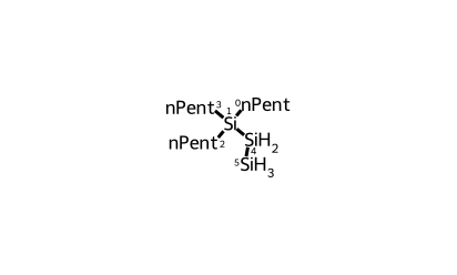 CCCCC[Si](CCCCC)(CCCCC)[SiH2][SiH3]